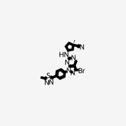 Cc1nnc(-c2ccc(-n3nc(Br)c4cnc(N[C@@H]5CC[C@@](C)(C#N)C5)nc43)cc2)s1